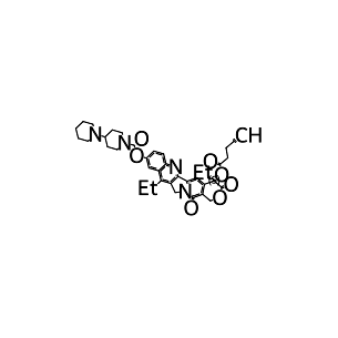 C#CCCC(=O)O[C@]1(CC)C(=O)OCc2c1cc1n(c2=O)Cc2c-1nc1ccc(OC(=O)N3CCC(N4CCCCC4)CC3)cc1c2CC